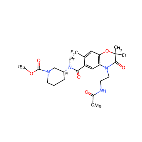 CCC1(C)Oc2cc(C(F)(F)F)c(C(=O)N(C(C)C)[C@@H]3CCCN(C(=O)OC(C)(C)C)C3)cc2N(CCNC(=O)OC)C1=O